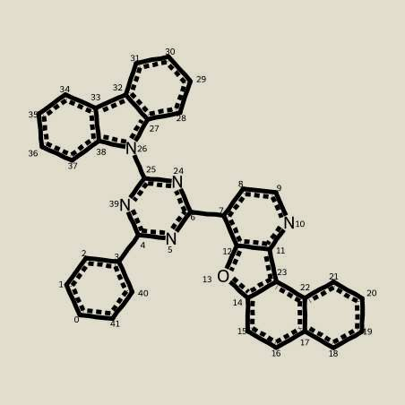 c1ccc(-c2nc(-c3ccnc4c3oc3ccc5ccccc5c34)nc(-n3c4ccccc4c4ccccc43)n2)cc1